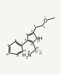 COCCc1cc(-c2ccccc2)c([C@H](C)N)[nH]1